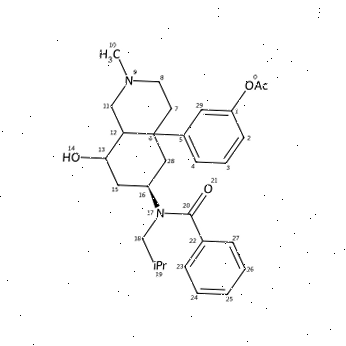 CC(=O)Oc1cccc(C23CCN(C)CC2C(O)C[C@H](N(CC(C)C)C(=O)c2ccccc2)C3)c1